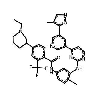 CCN1CCCC(c2ccc(C(=O)Nc3ccc(C)c(Nc4nccc(-c5cncc(-c6oncc6C)c5)n4)c3)c(C(F)(F)F)c2)C1